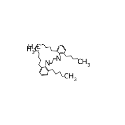 CCCCCc1cccc(CCCCC)c1N=CC=Nc1c(CCCCC)cccc1CCCCC